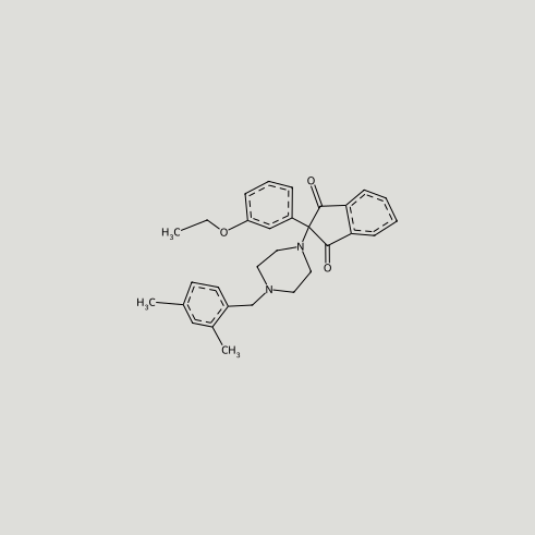 CCOc1cccc(C2(N3CCN(Cc4ccc(C)cc4C)CC3)C(=O)c3ccccc3C2=O)c1